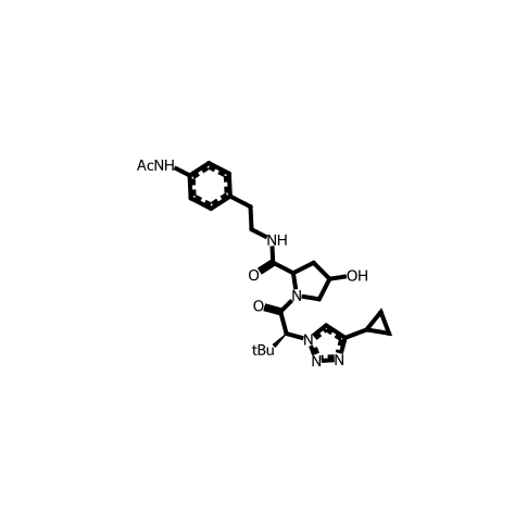 CC(=O)Nc1ccc(CCNC(=O)C2CC(O)CN2C(=O)[C@@H](n2cc(C3CC3)nn2)C(C)(C)C)cc1